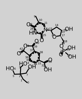 CCC(CO)(CO)CO.Cc1cn([C@H]2C[C@H](O)[C@@H](COP(=O)(O)O)O2)c(=O)[nH]c1=O.O=C(O)c1ccc2c(c1)C(=O)OC2=O